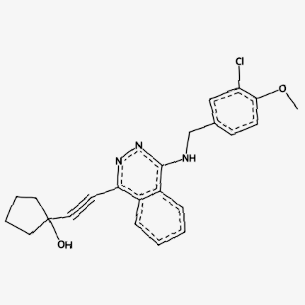 COc1ccc(CNc2nnc(C#CC3(O)CCCC3)c3ccccc23)cc1Cl